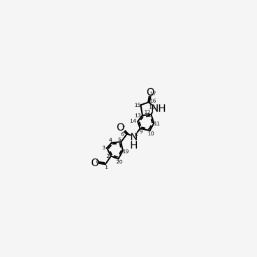 O=Cc1ccc(C(=O)Nc2ccc3c(c2)CC(=O)N3)cc1